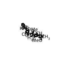 COC[C@H]1CN(c2cc(C)c3c4c(c(=O)oc3c2C)CN(C(=O)c2cc(OC)c(C(=O)NS(=O)(=O)N3CCCC3)cc2Cl)CC4)CCN1C